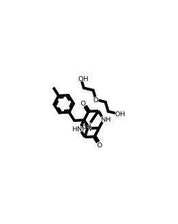 Cc1ccc(CC23NC4NC(NC(N2)C4=O)C3=O)cc1.OCCOCCO